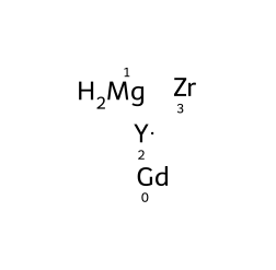 [Gd].[MgH2].[Y].[Zr]